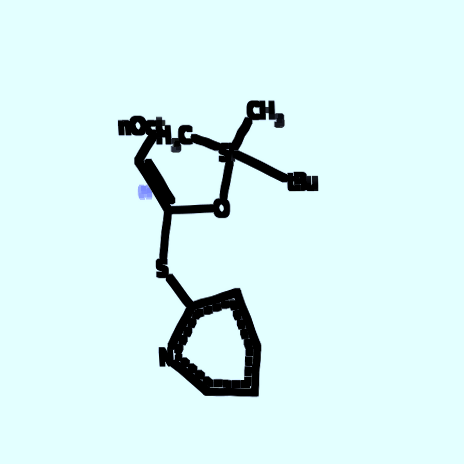 CCCCCCCC/C=C(\O[Si](C)(C)C(C)(C)C)Sc1ccccn1